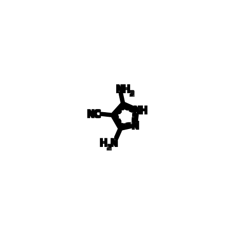 N#Cc1c(N)n[nH]c1N